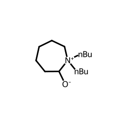 CCCC[N+]1(CCCC)CCCCCC1[O-]